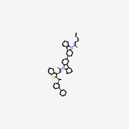 C=C/C=C\C=C(/C)n1c2ccccc2c2cc(-c3ccc4c(c3)c3ccccc3n4/C(C)=C/c3c(C(=C)c4cccc(-c5ccccc5)c4)sc4ccccc34)ccc21